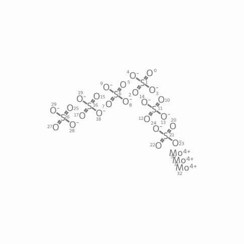 O=S(=O)([O-])[O-].O=S(=O)([O-])[O-].O=S(=O)([O-])[O-].O=S(=O)([O-])[O-].O=S(=O)([O-])[O-].O=S(=O)([O-])[O-].[Mo+4].[Mo+4].[Mo+4]